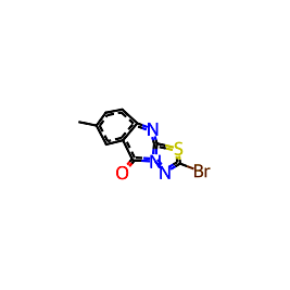 Cc1ccc2nc3sc(Br)nn3c(=O)c2c1